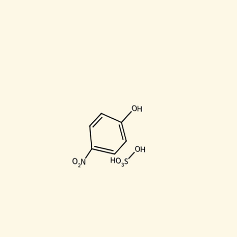 O=S(=O)(O)O.O=[N+]([O-])c1ccc(O)cc1